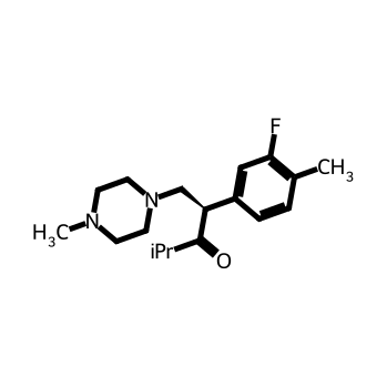 Cc1ccc([C@H](CN2CCN(C)CC2)C(=O)C(C)C)cc1F